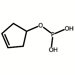 OP(O)OC1CC=CC1